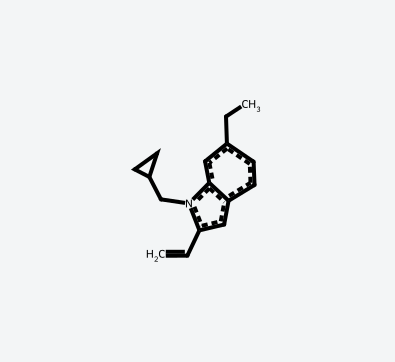 C=Cc1cc2ccc(CC)cc2n1CC1CC1